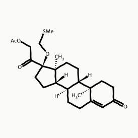 CSCO[C@]1(C(=O)COC(C)=O)CC[C@H]2[C@@H]3CCC4=CC(=O)CC[C@]4(C)[C@H]3CC[C@@]21C